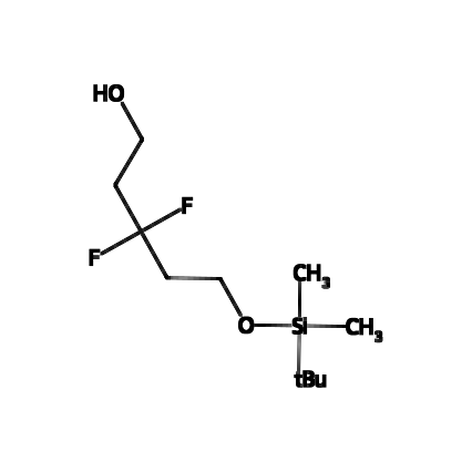 CC(C)(C)[Si](C)(C)OCCC(F)(F)CCO